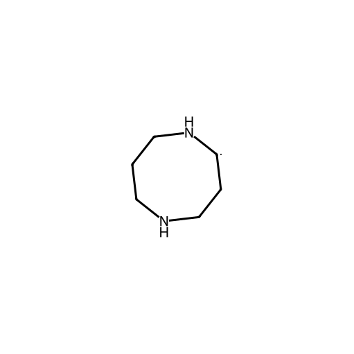 [CH]1CCNCCCN1